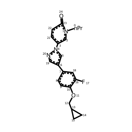 CCCn1cc(-n2cc(-c3ccc(OCC4CC4)c(F)c3)cn2)ccc1=O